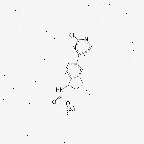 CC(C)(C)OC(=O)NC1CCc2cc(-c3ccnc(Cl)n3)ccc21